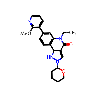 COc1ncccc1-c1ccc2c(c1)N(CC(F)(F)F)C(=O)C1=CN(C3CCCCO3)NC12